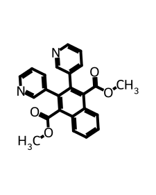 COC(=O)c1c(-c2cccnc2)c(-c2cccnc2)c(C(=O)OC)c2ccccc12